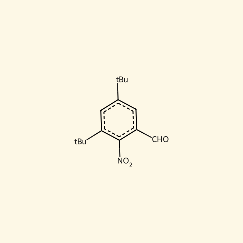 CC(C)(C)c1cc(C=O)c([N+](=O)[O-])c(C(C)(C)C)c1